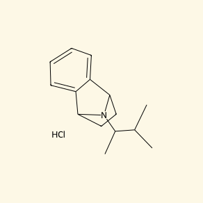 CC(C)C(C)N1C2CCC1c1ccccc12.Cl